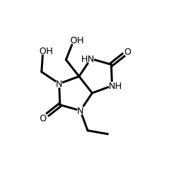 CCN1C(=O)N(CO)C2(CO)NC(=O)NC12